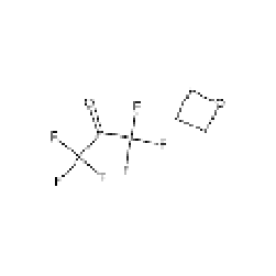 C1COC1.O=C(C(F)(F)F)C(F)(F)F